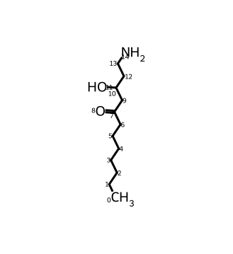 CCCCCCCC(=O)CC(O)CCN